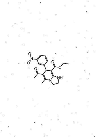 CCOC(=O)C1=C2NCCN2C(C)=C(C(C)=O)C1c1cccc([N+](=O)[O-])c1